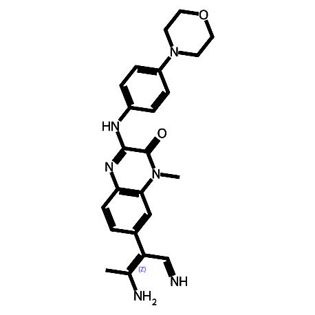 C/C(N)=C(/C=N)c1ccc2nc(Nc3ccc(N4CCOCC4)cc3)c(=O)n(C)c2c1